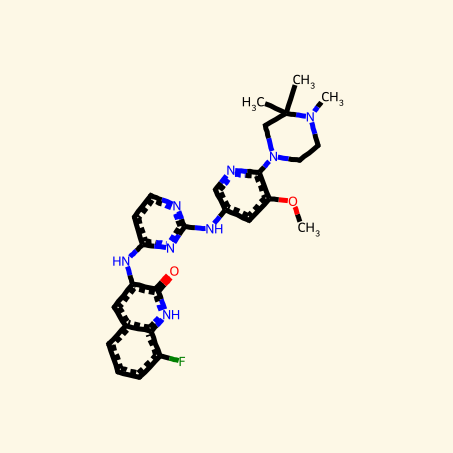 COc1cc(Nc2nccc(Nc3cc4cccc(F)c4[nH]c3=O)n2)cnc1N1CCN(C)C(C)(C)C1